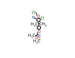 CSc1nc(COc2ccc(C(C)(C)c3cc(Cl)c(OCCCl)c(C#N)c3)cc2)c(C)o1